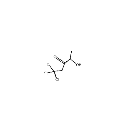 CC(O)C(=O)CC(Cl)(Cl)Cl